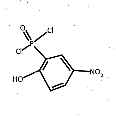 O=[N+]([O-])c1ccc(O)c(P(=O)(Cl)Cl)c1